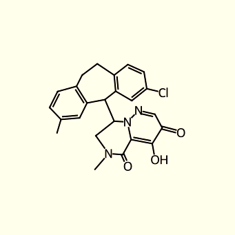 Cc1ccc2c(c1)C(C1CN(C)C(=O)c3c(O)c(=O)cnn31)c1cc(Cl)ccc1CC2